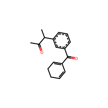 CC(=O)C(C)c1cccc(C(=O)C2=CCCC=C2)c1